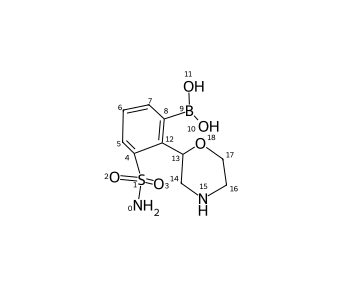 NS(=O)(=O)c1cccc(B(O)O)c1C1CNCCO1